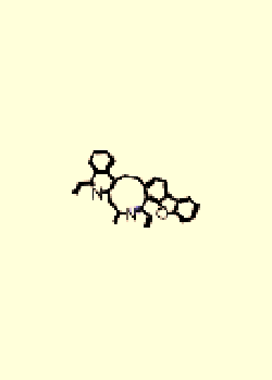 C=CC1=NC2CC(=C)/N=C(/C=C)c3c(ccc4c3oc3ccccc34)CCC2c2ccccc21